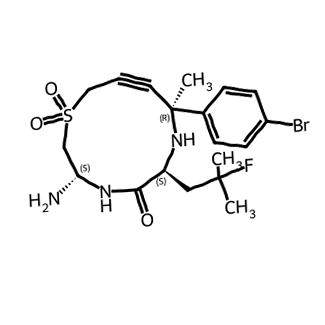 CC(C)(F)C[C@@H]1N[C@](C)(c2ccc(Br)cc2)C#CCS(=O)(=O)C[C@@H](N)NC1=O